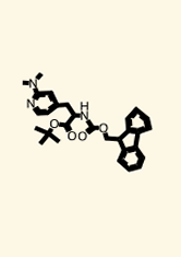 CN(C)c1cc(CC(NC(=O)OCC2c3ccccc3-c3ccccc32)C(=O)OC(C)(C)C)ccn1